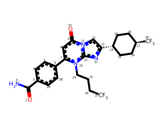 NC(=O)c1ccc(-c2cc(=O)n3cc([C@H]4CC[C@H](C(F)(F)F)CC4)nc3n2CCCC(F)(F)F)cc1